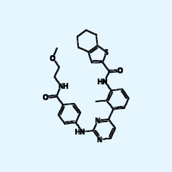 COCCNC(=O)c1ccc(Nc2nccc(-c3cccc(NC(=O)c4cc5c(s4)CCCC5)c3C)n2)cc1